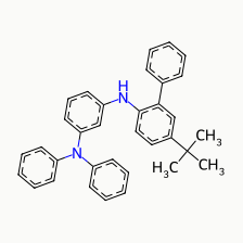 CC(C)(C)c1ccc(Nc2cccc(N(c3ccccc3)c3ccccc3)c2)c(-c2ccccc2)c1